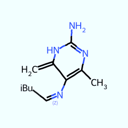 C=C1NC(N)=NC(C)=C1/N=C\C(C)CC